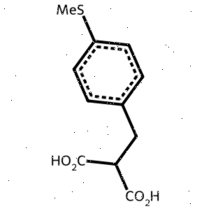 CSc1ccc(CC(C(=O)O)C(=O)O)cc1